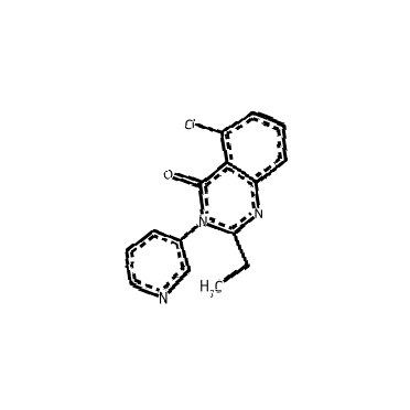 CCc1nc2cccc(Cl)c2c(=O)n1-c1cccnc1